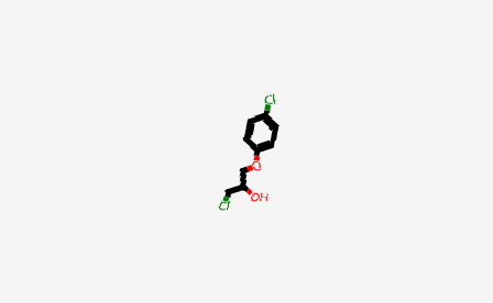 OC(CCl)COc1ccc(Cl)cc1